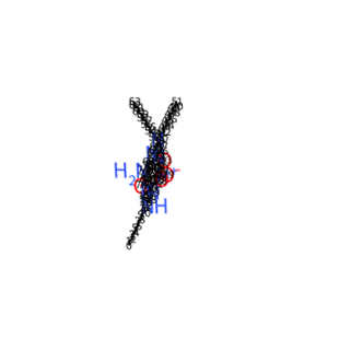 CCCCCCCCCCCCNc1ccc2c(c1)nc1c3ccc4c5c([N+](=O)[O-])cc6c(=O)n7c8ccc(N(CCCCCCCCCCCC)CCCCCCCCCCCC)cc8nc7c7ccc(c8c(N)cc(c(=O)n21)c3c48)c5c67